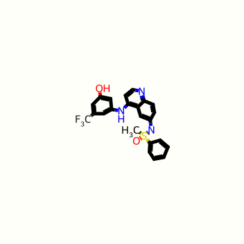 CS(=O)(=Nc1ccc2nccc(Nc3cc(O)cc(C(F)(F)F)c3)c2c1)c1ccccc1